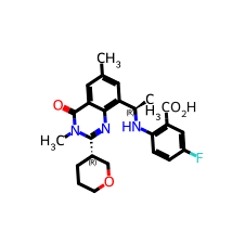 Cc1cc([C@@H](C)Nc2ccc(F)cc2C(=O)O)c2nc([C@H]3CCCOC3)n(C)c(=O)c2c1